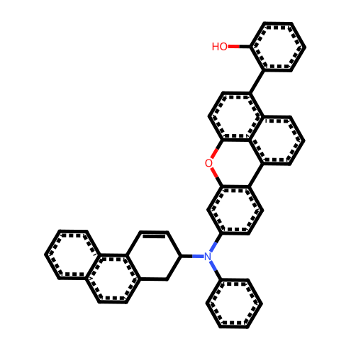 Oc1ccccc1-c1ccc2c3c(cccc13)-c1ccc(N(c3ccccc3)C3C=Cc4c(ccc5ccccc45)C3)cc1O2